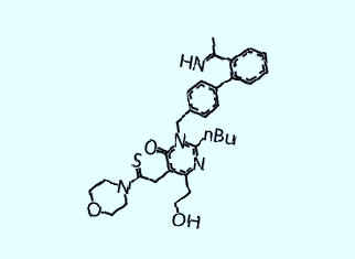 CCCCc1nc(CCO)c(CC(=S)N2CCOCC2)c(=O)n1Cc1ccc(-c2ccccc2C(C)=N)cc1